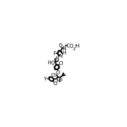 O=C(O)CNC(=O)c1cnc(N2CC(O)(c3ccc(OCc4c(-c5c(Cl)cc(F)cc5Cl)noc4C4CC4)cc3Cl)C2)c(F)c1